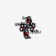 CC(C)(C)c1ccc(-c2c3/c(=C(\C#N)c4cnc5cccc(Br)c5n4)n(B(c4ccccc4)c4ccccc4)c(-c4ccc(C(C)(C)C)cc4)c3/c(=C(\C#N)c3cnc4cccc(Br)c4n3)n2B(c2ccccc2)c2ccccc2)cc1